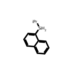 CC(C)[SiH2]c1cccc2ccccc12